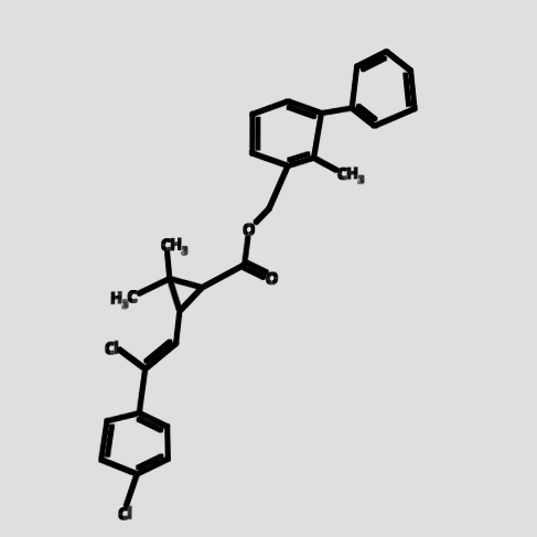 Cc1c(COC(=O)C2C(C=C(Cl)c3ccc(Cl)cc3)C2(C)C)cccc1-c1ccccc1